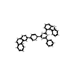 C1=CC(c2nc(-c3ccccc3)nc(-c3cccc4oc5ccccc5c34)n2)CC=C1c1ccc2ccc3ccccc3c2c1